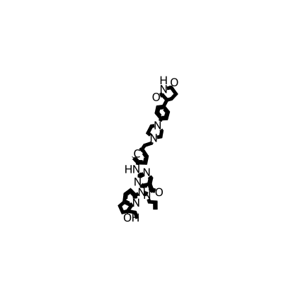 C=CCn1c(=O)c2cnc(Nc3ccc(CCN4CCN(c5ccc(C6CCC(=O)NC6=O)cc5)CC4)cc3)nc2n1-c1ccc2c(n1)[C@@](O)(CC)CC2